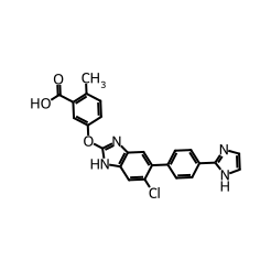 Cc1ccc(Oc2nc3cc(-c4ccc(-c5ncc[nH]5)cc4)c(Cl)cc3[nH]2)cc1C(=O)O